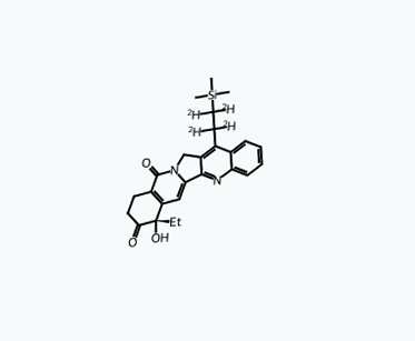 [2H]C([2H])(c1c2c(nc3ccccc13)-c1cc3c(c(=O)n1C2)CCC(=O)[C@]3(O)CC)C([2H])([2H])[Si](C)(C)C